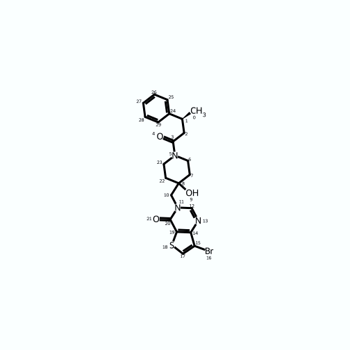 C[C@@H](CC(=O)N1CCC(O)(Cn2cnc3c(Br)csc3c2=O)CC1)c1ccccc1